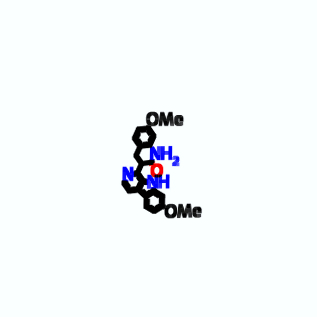 COc1ccc(CC(C(N)=O)c2nccc3c2[nH]c2cc(OC)ccc23)cc1